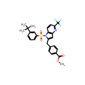 COC(=O)c1ccc(Cc2cc3nc(C(F)(F)F)ccc3n2S(=O)(=O)c2cccc(C(C)(C)C)c2)cc1